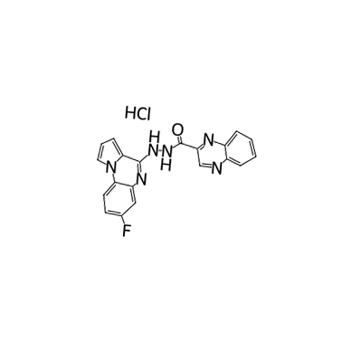 Cl.O=C(NNc1nc2cc(F)ccc2n2cccc12)c1cnc2ccccc2n1